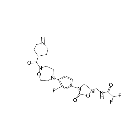 O=C(NC[C@H]1CN(c2ccc(N3CCON(C(=O)C4CCNCC4)CC3)c(F)c2)C(=O)O1)C(F)F